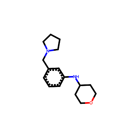 [c]1ccc(CN2CCCC2)cc1NC1CCOCC1